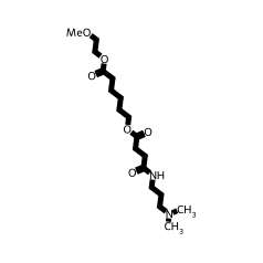 COCCOC(=O)CCCCCOC(=O)CCC(=O)NCCCN(C)C